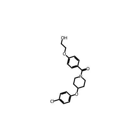 O=C(c1ccc(OCCO)cc1)N1CCC(Oc2ccc(Cl)cc2)CC1